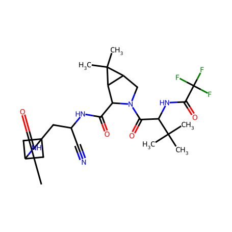 CC(C)(C)C(NC(=O)C(F)(F)F)C(=O)N1CC2C(C1C(=O)NC(C#N)CC13CC(C1)NC3=O)C2(C)C